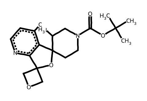 Cc1ccnc2c1C1(CCN(C(=O)OC(C)(C)C)CC1I)OC21COC1